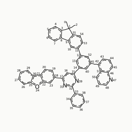 CC1(C)c2ccccc2-c2cc(-c3cc(-c4cc(-c5ccc6c(c5)oc5ccccc56)nc(-c5ccccc5)n4)cc(-c4cccc5ncccc45)c3)ccc21